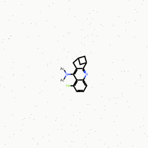 CC(=O)N(C(C)=O)c1c2c(nc3cccc(F)c13)C1CC(C2)C1